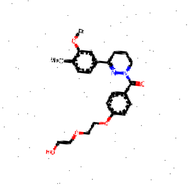 CCOc1cc(C2=NN(C(=O)c3ccc(OCCOCCO)cc3)CCC2)ccc1OC